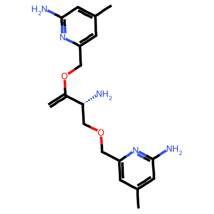 C=C(OCc1cc(C)cc(N)n1)[C@H](N)COCc1cc(C)cc(N)n1